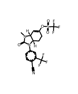 CN1C(=O)N(c2ccc(C#N)c(C(F)(F)F)c2)[C@H]2CCC(OS(=O)(=O)C(F)(F)F)=C[C@H]21